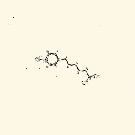 O=C(Cl)CCCCCc1ccc(Cl)cc1